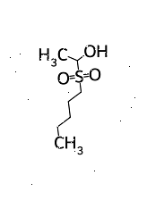 CCCCCS(=O)(=O)C(C)O